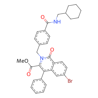 COC(=O)c1c(-c2ccccc2)c2cc(Br)ccc2c(=O)n1Cc1ccc(C(=O)NCC2CCCCC2)cc1